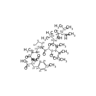 CC[C@H](C)C(C(CC(=O)N1CCC[C@H]1[C@H](OC)[C@@H](C)C(=O)NC(Cc1ccc(C)cc1)C(=O)O)OC)N(C)C(=O)[C@@H](NC(=O)[C@@H](NC)C(C)C)C(C)C